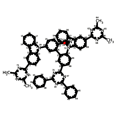 Cc1nc(C)nc(-c2ccc3c(c2)c2ccccc2n3-c2ccc(C#N)c(-c3cc(-c4nc(-c5ccccc5)nc(-c5ccccc5)n4)ccc3-n3c4ccccc4c4cc(-c5nc(C)nc(C)n5)ccc43)c2)n1